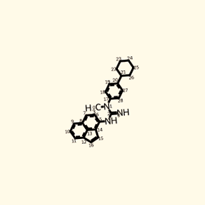 CN(C(=N)Nc1ccc2cccc3c2c1C=C3)c1ccc(C2CCCCC2)cc1